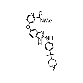 CNC(=O)c1cc(Oc2ccc3[nH]c(Nc4ccc(C(C)(C)C5CCN(C)CC5)cc4)nc3c2)ccn1